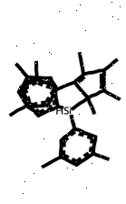 CC1=C(C)C(C)([SiH](c2cc(C)cc(C)c2)c2cc(C)cc(C)c2)C(c2cccc(C)c2)=C1C